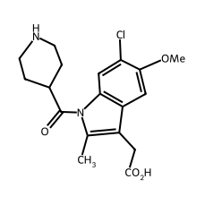 COc1cc2c(CC(=O)O)c(C)n(C(=O)C3CCNCC3)c2cc1Cl